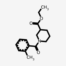 CCOC(=O)C1CCCN(C(=O)c2ccccc2C)C1